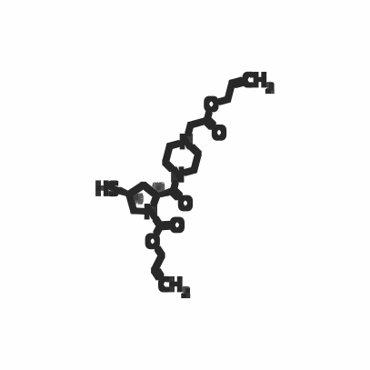 C=CCOC(=O)CN1CCN(C(=O)[C@@H]2C[C@H](S)CN2C(=O)OCC=C)CC1